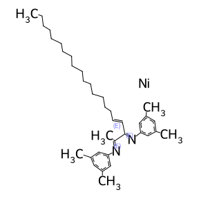 CCCCCCCCCCCCCCCC/C=C/C(=N\c1cc(C)cc(C)c1)C(/C)=N/c1cc(C)cc(C)c1.[Ni]